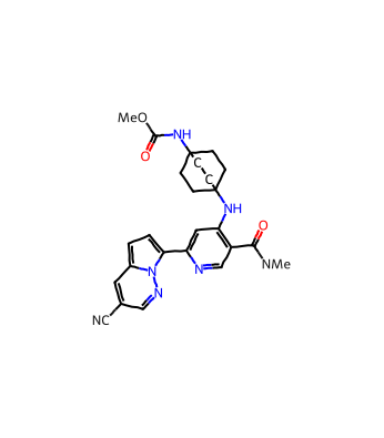 CNC(=O)c1cnc(-c2ccc3cc(C#N)cnn23)cc1NC12CCC(NC(=O)OC)(CC1)CC2